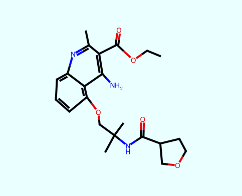 CCOC(=O)c1c(C)nc2cccc(OCC(C)(C)NC(=O)C3CCOC3)c2c1N